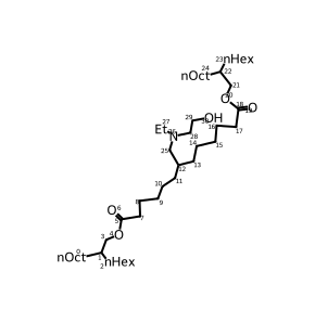 CCCCCCCCC(CCCCCC)COC(=O)CCCCCC(CCCCCC(=O)OCC(CCCCCC)CCCCCCCC)CN(CC)CCO